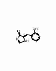 O=C1N=CN/C1=C\c1ccccc1O